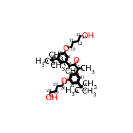 CC(C(=O)C(C)c1cc(OCCCCO)cc(C(C)(C)C)c1)c1cc(OCCCCO)cc(C(C)(C)C)c1